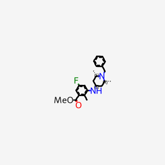 COC(=O)c1cc(F)cc(N[C@@H]2C[C@@H](C)N(Cc3ccccc3)[C@@H](C)C2)c1C